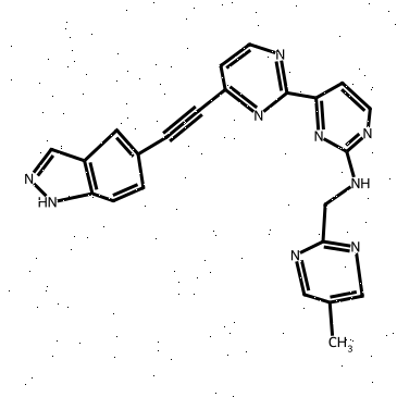 Cc1cnc(CNc2nccc(-c3nccc(C#Cc4ccc5[nH]ncc5c4)n3)n2)nc1